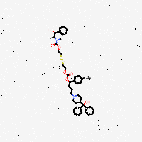 C[C@@H]([C@@H](O)c1ccccc1)N(C)C(=O)OCCSSCCOC(=O)OC(CCCN1CCC(C(O)(c2ccccc2)c2ccccc2)CC1)c1ccc(C(C)(C)C)cc1